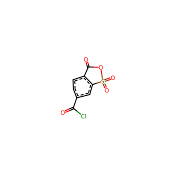 O=C(Cl)c1ccc2c(c1)S(=O)(=O)OC2=O